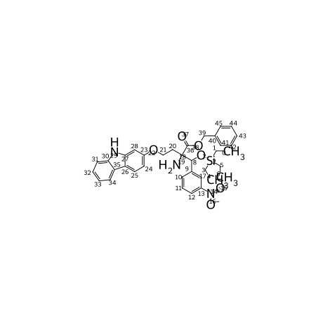 CC[Si](CC)(CC)OC(c1cccc([N+](=O)[O-])c1)C(N)(CCOc1ccc2c(c1)[nH]c1ccccc12)C(=O)OCc1ccccc1